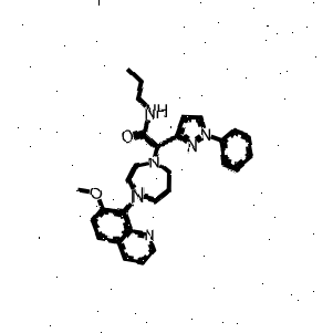 CCCNC(=O)C(c1ccn(-c2ccccc2)n1)N1CCCN(c2c(OC)ccc3cccnc23)CC1